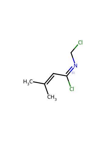 CC(C)=C/C(Cl)=N\CCl